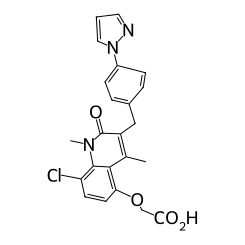 Cc1c(Cc2ccc(-n3cccn3)cc2)c(=O)n(C)c2c(Cl)ccc(OCC(=O)O)c12